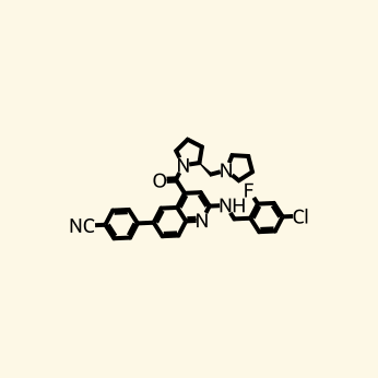 N#Cc1ccc(-c2ccc3nc(NCc4ccc(Cl)cc4F)cc(C(=O)N4CCC[C@H]4CN4CCCC4)c3c2)cc1